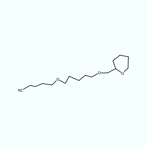 N#CCCCCOCCCCCOCC1CCCCO1